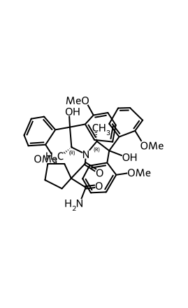 COc1ccccc1C(O)(c1ccccc1OC)[C@@H](C)N(C(=O)C1(C(N)=O)CCCC1)[C@H](C)C(O)(c1ccccc1OC)c1ccccc1OC